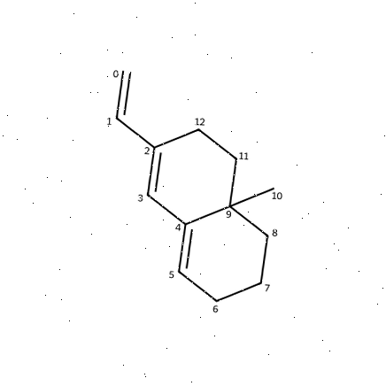 C=CC1=CC2=CCCCC2(C)CC1